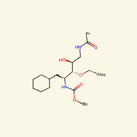 COCO[C@H]([C@H](CC1CCCCC1)NC(=O)OC(C)(C)C)[C@@H](O)CNC(=O)C(C)C